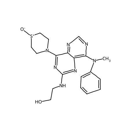 CN(c1ccccc1)c1ncnc2c(N3CC[S+]([O-])CC3)nc(NCCO)nc12